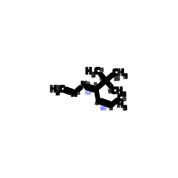 C=N/N=C(\C=C/C)C(C)(C)C